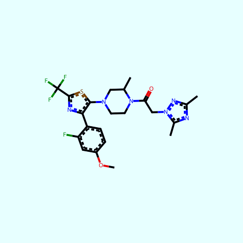 COc1ccc(-c2nc(C(F)(F)F)sc2N2CCN(C(=O)Cn3nc(C)nc3C)C(C)C2)c(F)c1